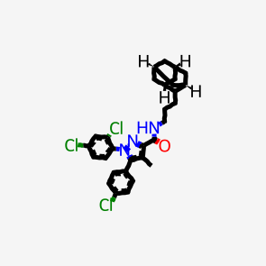 Cc1c(C(=O)NCCCC2[C@H]3C[C@@H]4C[C@@H](C[C@H]2C4)C3)nn(-c2ccc(Cl)cc2Cl)c1-c1ccc(Cl)cc1